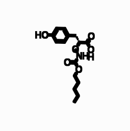 CCCCCOC(=O)NO[C@H](Cc1ccc(O)cc1)C(=O)O